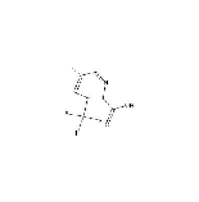 Cc1cnc(C(=O)O)c(C(F)(F)F)c1